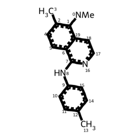 CNc1c(C)ccc2c(Nc3ccc(C)cc3)nccc12